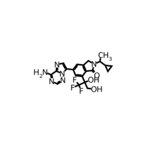 CC(C1CC1)N1Cc2cc(-c3cnc4c(N)ncnn34)cc(C(O)(CO)C(F)(F)F)c2C1=O